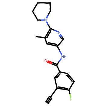 C#Cc1cc(C(=O)Nc2cnc(N3CCCCC3)c(C)c2)ccc1F